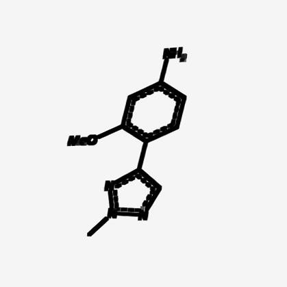 COc1cc(N)ccc1-c1cnn(C)n1